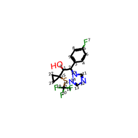 OC(C(c1ccc(F)cc1)n1cncn1)C1(SC(F)(F)F)CC1